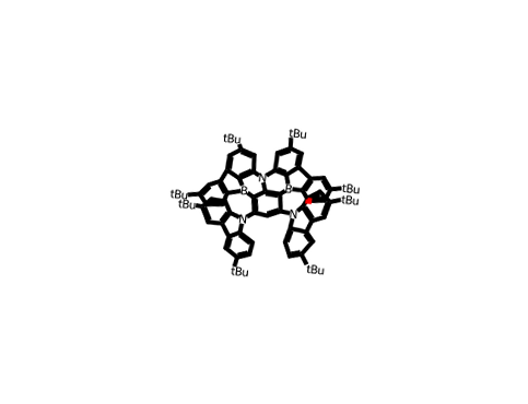 CC(C)(C)c1ccc2c(c1)-c1cc(C(C)(C)C)cc3c1B2c1c(-n2c4ccc(C(C)(C)C)cc4c4cc(C(C)(C)C)ccc42)cc(-n2c4ccc(C(C)(C)C)cc4c4cc(C(C)(C)C)ccc42)c2c1N3c1cc(C(C)(C)C)cc3c1B2c1ccc(C(C)(C)C)cc1-3